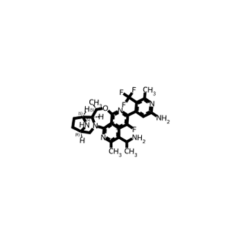 Cc1nc(N)cc(-c2nc3c4c(nc(C)c(C(C)N)c4c2F)N2C[C@H]4CC[C@H](N4)[C@H]2[C@H](C)O3)c1C(F)(F)F